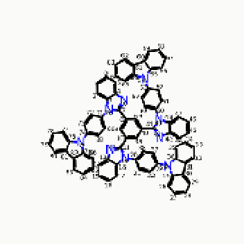 c1ccc2c(c1)nc(-c1cc(-c3nc4ccccc4n3-c3ccc(-n4c5ccccc5c5ccccc54)cc3)cc(-c3nc4ccccc4n3-c3ccc(-n4c5ccccc5c5ccccc54)cc3)c1)n2-c1ccc(-n2c3ccccc3c3ccccc32)cc1